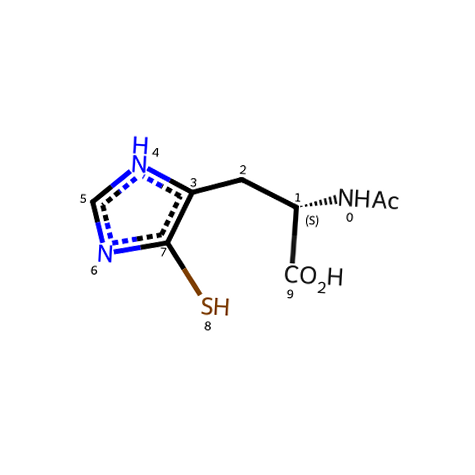 CC(=O)N[C@@H](Cc1[nH]cnc1S)C(=O)O